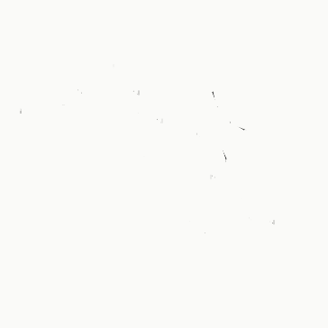 C=CCNC(=O)C(=O)C(NC(=O)[C@@H]1[C@@H]2[C@H](CN1C(=O)[C@@H](NC(=O)N[C@H](CNC(=O)OC(C)C)C(C)C)C(C)(C)C)C2(C)C)C1CC1